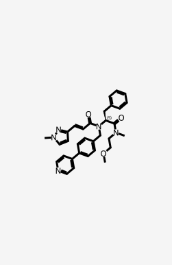 COCCN(C)C(=O)[C@H](Cc1ccccc1)N(Cc1ccc(-c2ccncc2)cc1)C(=O)C=Cc1ccn(C)n1